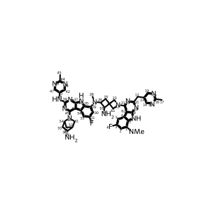 CNc1cc(F)cc2c1[nH]c1nc(Cc3cnc(C)nc3)nc(N3CC4(CC(N(C)c5cc(F)cc6c5[nH]c5nc(Nc7cnc(C)nc7)nc(N7CC8CC7C[C@H]8N)c56)C4N)C3)c12